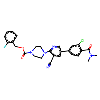 CN(C)C(=O)c1ccc(-c2cnc(N3CCN(C(=O)OCc4ccccc4F)CC3)c(C#N)c2)cc1Cl